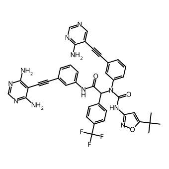 CC(C)(C)c1cc(NC(=O)N(c2cccc(C#Cc3cncnc3N)c2)C(C(=O)Nc2cccc(C#Cc3c(N)ncnc3N)c2)c2ccc(C(F)(F)F)cc2)no1